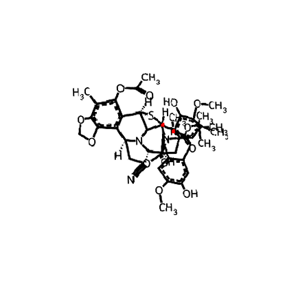 COc1cc2c(cc1O)CCN(C)[C@]21CS[C@@H]2c3c(OC(C)=O)c(C)c4c(c3[C@H](COC1=O)N1C2[C@@H]2c3c(cc(C)c(OC)c3O)C[C@@H]([C@@H]1C#N)N2C(=O)OC(C)(C)C)OCO4